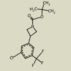 CC(C)(C)OC(=O)N1CC(c2cc(Cl)cc(C(F)(F)F)c2)C1